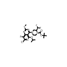 CSc1nc(N2CCN(C(=O)OC(C)(C)C)C(C(F)F)C2)c2c(OC(C)C)nc(Cl)c(F)c2n1